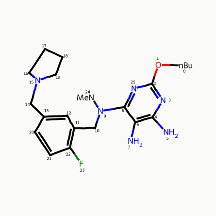 CCCCOc1nc(N)c(N)c(N(Cc2cc(CN3CCCC3)ccc2F)NC)n1